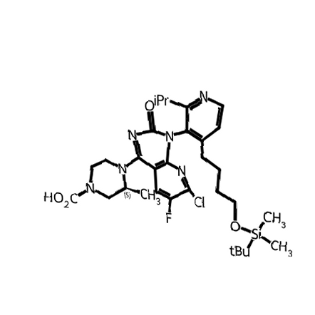 CC(C)c1nccc(CCCCO[Si](C)(C)C(C)(C)C)c1-n1c(=O)nc(N2CCN(C(=O)O)C[C@@H]2C)c2cc(F)c(Cl)nc21